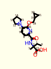 CCC(C)(NC(=O)c1ccc(N2CCCC2)c(OCC2CC2)n1)C(=O)O